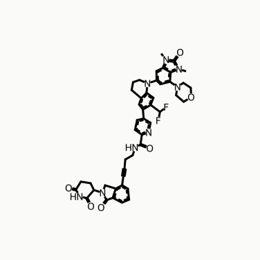 Cn1c(=O)n(C)c2c(N3CCOCC3)cc(N3CCCc4cc(-c5ccc(C(=O)NCCC#Cc6cccc7c6CN(C6CCC(=O)NC6=O)C7=O)nc5)c(C(F)F)cc43)cc21